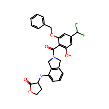 O=C1OCCC1Nc1cccc2c1CN(C(=O)c1c(O)cc(C(F)F)cc1OCc1ccccc1)C2